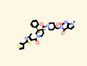 Cc1nc(-c2ccsc2)sc1C(=O)N1CC[C@@H](C(=O)N2CCC(O)(Cn3cnc4c(ccn4C)c3=O)CC2)[C@H](c2ccccc2)C1